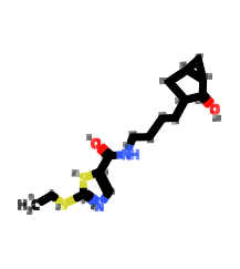 CCSc1ncc(C(=O)NCCCCC2CC3CC3C2=O)s1